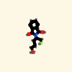 O=C1c2ccccc2C(=O)N1C(C=CCBr)CF